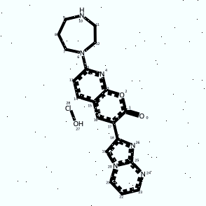 O=c1oc2nc(N3CCCNCC3)ccc2cc1-c1cn2cccnc2n1.OCl